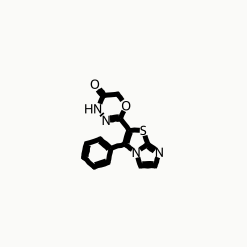 O=C1COC(c2sc3nccn3c2-c2ccccc2)=NN1